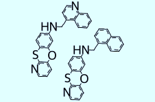 c1cnc2c(c1)Oc1cc(NCc3cccc4ccccc34)ccc1S2.c1cnc2c(c1)Oc1cc(NCc3ccnc4ccccc34)ccc1S2